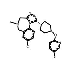 CN1Cc2cc(Cl)ccc2-n2c(nnc2[C@H]2CC[C@H](Oc3ccc(F)cn3)CC2)C1